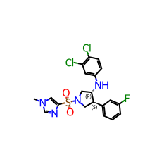 Cn1cnc(S(=O)(=O)N2C[C@H](Nc3ccc(Cl)c(Cl)c3)[C@@H](c3cccc(F)c3)C2)c1